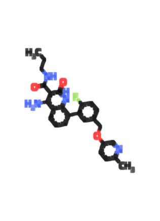 CCCNC(=O)c1c(N)c2cccc(-c3cc(COc4ccc(C)nc4)ccc3F)c2[nH]c1=O